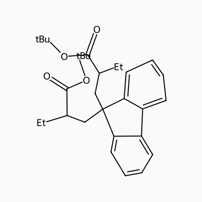 CCC(CC1(CC(CC)C(=O)OC(C)(C)C)c2ccccc2-c2ccccc21)C(=O)OC(C)(C)C